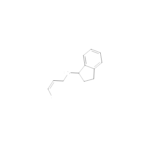 Cl/C=C\CNC1CCc2ccccc21